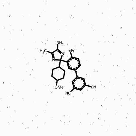 CCCc1ccc(-c2cc(C#N)cc(C#N)c2)cc1C1(C2CCC(OC)CC2)N=C(C)C(N)=N1